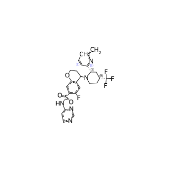 C=C/N=C(\C=C/C)[C@@H]1C[C@H](C(F)(F)F)CCN1C1CCOc2cc(S(=O)(=O)Nc3ccncn3)c(F)cc21